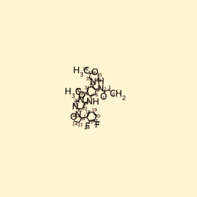 C=CC(=O)Nc1cc(Nc2cc(N3OCCC3c3cccc(F)c3F)ncn2)c(OC)cc1N1CCOC(C)C1